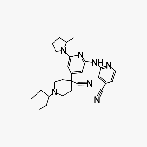 CCC(CC)N1CCC(C#N)(c2cc(Nc3cc(C#N)ccn3)nc(N3CCCC3C)c2)CC1